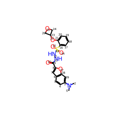 CN(C)c1ccc2cc(C(=O)NNS(=O)(=O)c3ccccc3OC3COC3)oc2c1